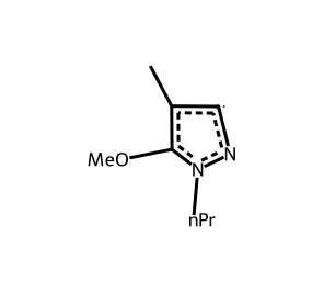 CCCn1n[c]c(C)c1OC